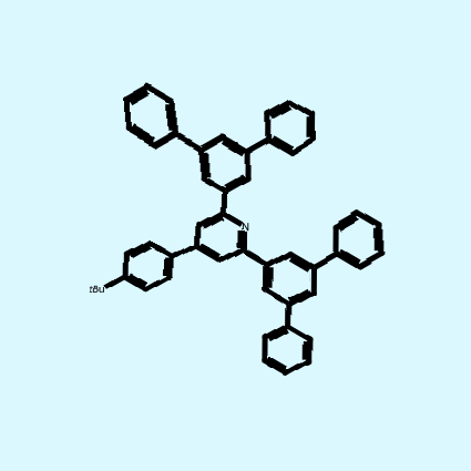 CC(C)(C)c1ccc(-c2cc(-c3cc(-c4ccccc4)cc(-c4ccccc4)c3)nc(-c3cc(-c4ccccc4)cc(-c4ccccc4)c3)c2)cc1